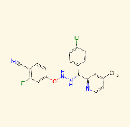 Cc1ccnc(C(NNOc2ccc(C#N)c(F)c2)c2ccc(Cl)cc2)c1